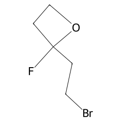 FC1(CCBr)CCO1